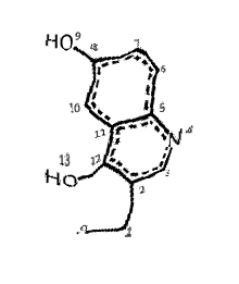 [CH2]Cc1cnc2ccc(O)cc2c1O